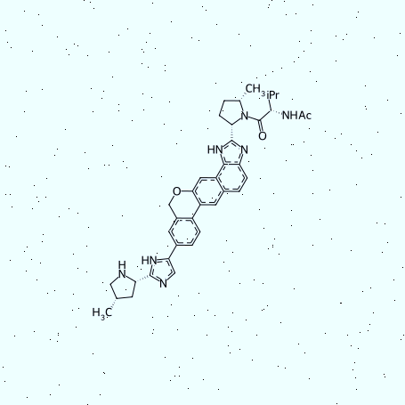 CC(=O)N[C@H](C(=O)N1[C@@H](C)CC[C@H]1c1nc2ccc3cc4c(cc3c2[nH]1)OCc1cc(-c2cnc([C@@H]3C[C@H](C)CN3)[nH]2)ccc1-4)C(C)C